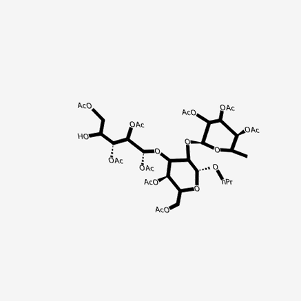 CCCO[C@@H]1OC(COC(C)=O)[C@@H](OC(C)=O)C(O[C@H](OC(C)=O)C(OC(C)=O)[C@H](OC(C)=O)C(O)COC(C)=O)C1O[C@@H]1OC(C)[C@H](OC(C)=O)C(OC(C)=O)C1OC(C)=O